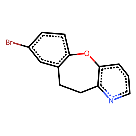 Brc1ccc2c(c1)CCc1ncccc1O2